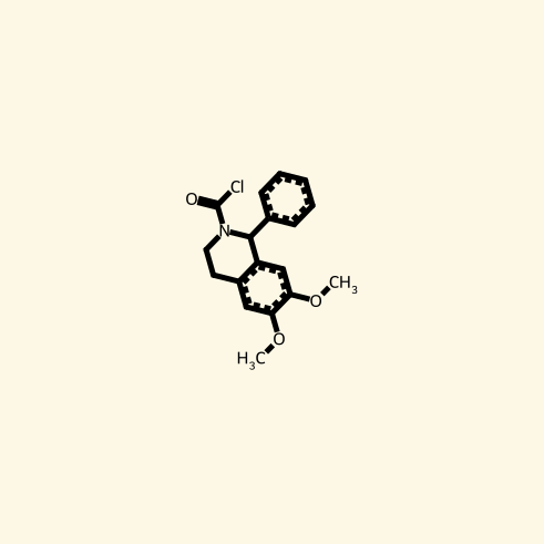 COc1cc2c(cc1OC)C(c1ccccc1)N(C(=O)Cl)CC2